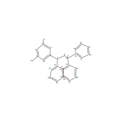 Cc1cc(C)cc(C(CP(c2ccccc2)c2ccccc2)c2ccccc2)c1